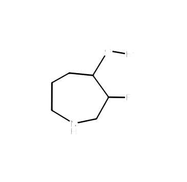 CCOC1CCCNCC1F